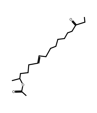 CCC(=O)CCCCCCCC=CCCCC(C)OC(C)=O